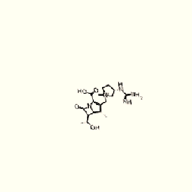 C[C@@H](O)C1C(=O)N2C(C(=O)O)=C(C[N+]3(C)CC[C@H](NC(=N)N)C3)[C@H](C)C12